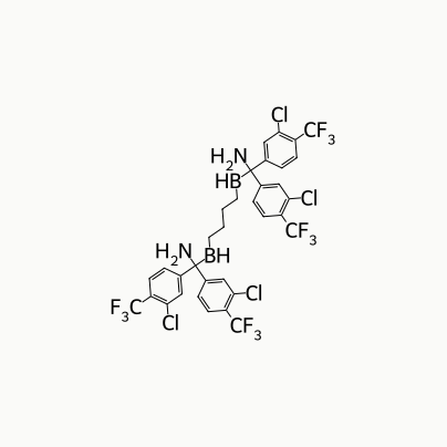 NC(BCCCCBC(N)(c1ccc(C(F)(F)F)c(Cl)c1)c1ccc(C(F)(F)F)c(Cl)c1)(c1ccc(C(F)(F)F)c(Cl)c1)c1ccc(C(F)(F)F)c(Cl)c1